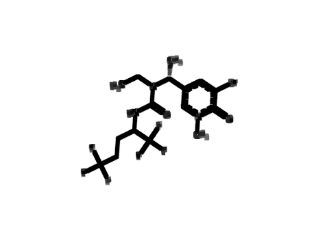 CCN(C(=O)NC(CCC(F)(F)F)C(F)(F)F)[C@H](C)c1cc(Br)c(=O)n(C)c1